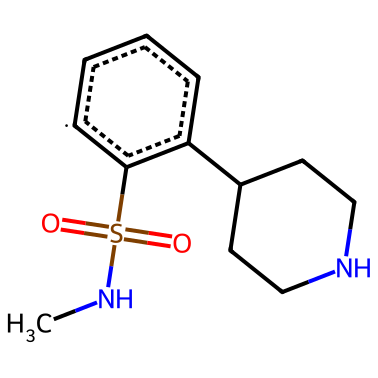 CNS(=O)(=O)c1[c]cccc1C1CCNCC1